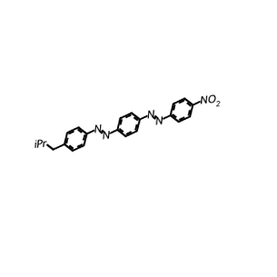 CC(C)Cc1ccc(N=Nc2ccc(N=Nc3ccc([N+](=O)[O-])cc3)cc2)cc1